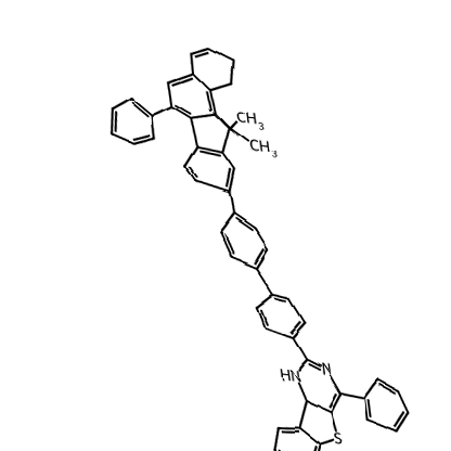 CC1(C)c2cc(-c3ccc(-c4ccc(C5=NC(c6ccccc6)=C6Sc7ccccc7C6N5)cc4)cc3)ccc2-c2c(-c3ccccc3)cc3c(c21)CCC=C3